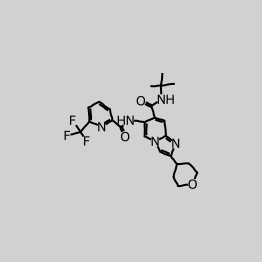 CC(C)(C)NC(=O)c1cc2nc(C3CCOCC3)cn2cc1NC(=O)c1cccc(C(F)(F)F)n1